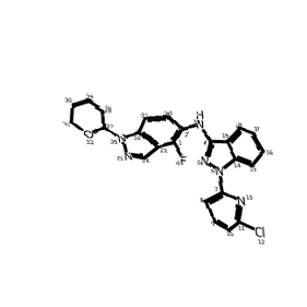 Fc1c(Nc2nn(-c3cccc(Cl)n3)c3ccccc23)ccc2c1cnn2C1CCCCO1